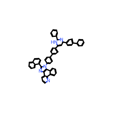 C1=C(c2ccc(-c3ccc(-n4c(-c5cccc6ccccc56)nc5c6cccnc6c6ccccc6c54)cc3)cc2)NC(c2ccccc2)N=C1c1ccc(-c2ccccc2)cc1